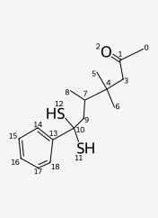 CC(=O)CC(C)(C)C(C)CC(S)(S)c1ccccc1